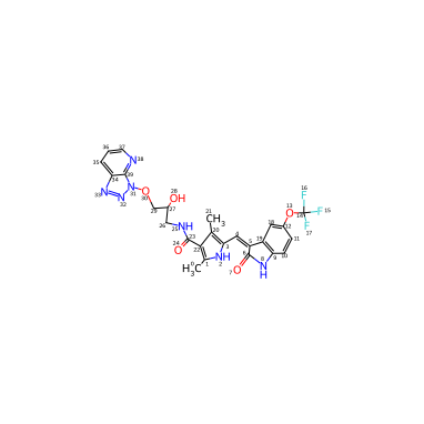 Cc1[nH]c(/C=C2\C(=O)Nc3ccc(OC(F)(F)F)cc32)c(C)c1C(=O)NCC(O)COn1nnc2cccnc21